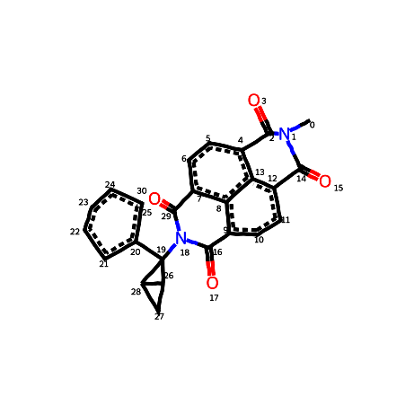 CN1C(=O)c2ccc3c4c(ccc(c24)C1=O)C(=O)N(C1(c2ccccc2)C2CC21)C3=O